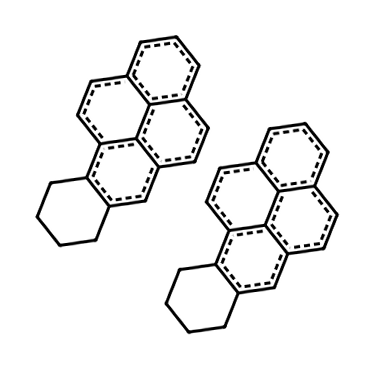 c1cc2ccc3cc4c(c5ccc(c1)c2c35)CCCC4.c1cc2ccc3cc4c(c5ccc(c1)c2c35)CCCC4